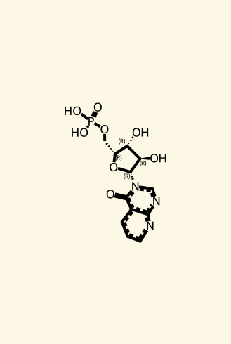 O=c1c2cccnc2ncn1[C@@H]1O[C@H](COP(=O)(O)O)[C@H](O)[C@H]1O